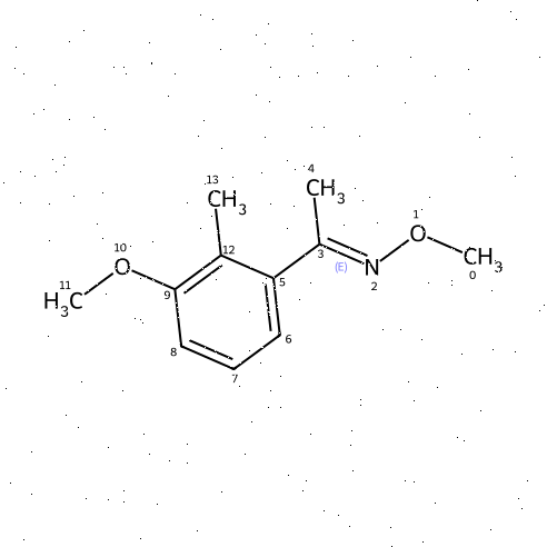 CO/N=C(\C)c1cccc(OC)c1C